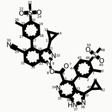 Cc1cc(-c2c(C(=O)On3nc(C4CC4)c4c(-c5ccc(S(C)(=O)=O)c(C)c5)c(C#N)ccc43)ncc3[nH]nc(C4CC4)c23)ccc1S(C)(=O)=O